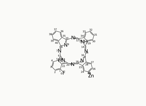 Fc1cccc2c3nc4nc(nc5[nH]c(nc6nc(nc([nH]3)c12)-c1ccccc1-6)c1ccccc51)-c1ccccc1-4.[Zn]